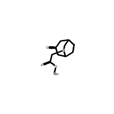 CC(C)(C)OC(=O)CN1CC2CCC1CC(=O)C2